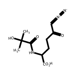 CC(C)(O)C(=O)NC(CCC(=O)C=[N+]=[N-])C(=O)O